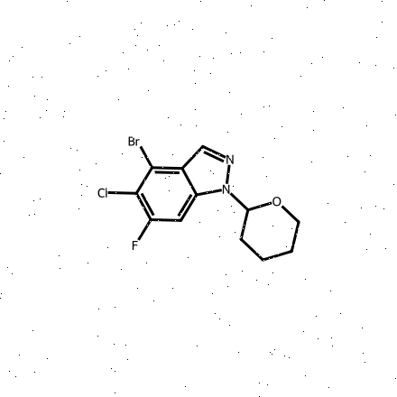 Fc1cc2c(cnn2C2CCCCO2)c(Br)c1Cl